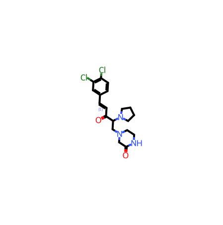 O=C1CN(CC(C(=O)/C=C/c2ccc(Cl)c(Cl)c2)N2CCCC2)CCN1